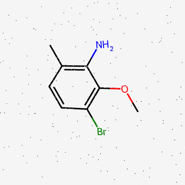 COc1c(Br)ccc(C)c1N